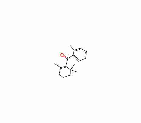 CC1=C(C(=O)c2ccccc2C)C(C)(C)CCC1